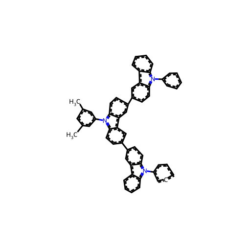 Cc1cc(C)cc(-n2c3ccc(-c4ccc5c(c4)c4ccccc4n5-c4ccccc4)cc3c3cc(-c4ccc5c(c4)c4ccccc4n5-c4ccccc4)ccc32)c1